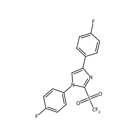 O=S(=O)(c1nc(-c2ccc(F)cc2)cn1-c1ccc(F)cc1)C(F)(F)F